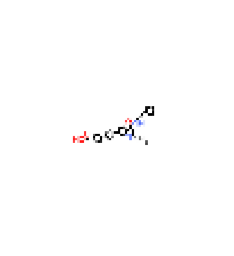 Cc1cc(C(=O)NCCCc2ccccc2)c2ccc(-c3ccc([C@H]4CC[C@H](CC(=O)O)CC4)cc3)cc2n1